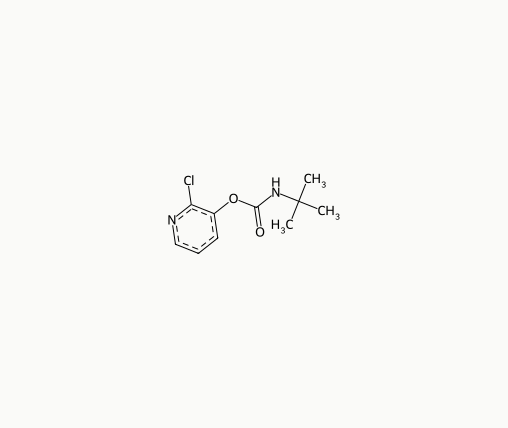 CC(C)(C)NC(=O)Oc1cccnc1Cl